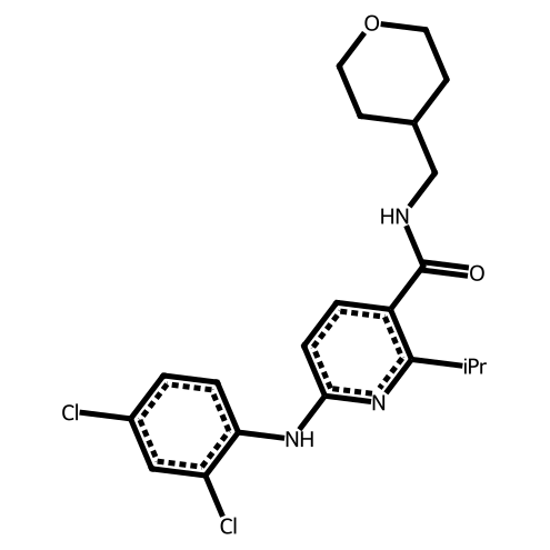 CC(C)c1nc(Nc2ccc(Cl)cc2Cl)ccc1C(=O)NCC1CCOCC1